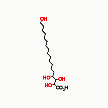 O=C(O)C(O)C(O)C(O)CCCCCCCCCCCCCCO